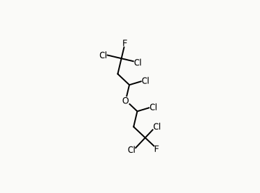 FC(Cl)(Cl)CC(Cl)OC(Cl)CC(F)(Cl)Cl